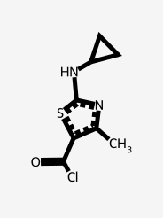 Cc1nc(NC2CC2)sc1C(=O)Cl